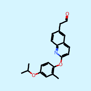 Cc1cc(OC(C)C)ccc1Oc1ccc2cc(CC=O)ccc2n1